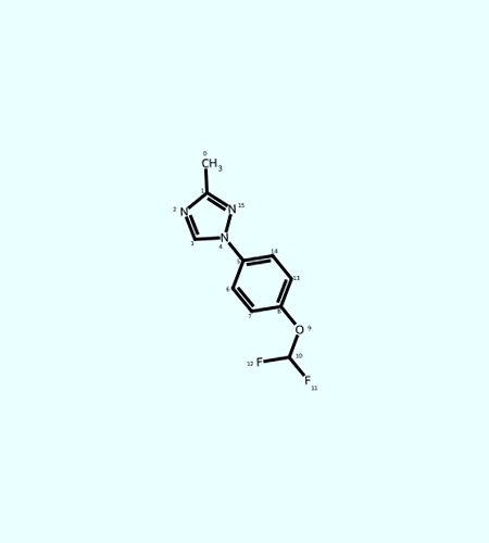 Cc1ncn(-c2ccc(OC(F)F)cc2)n1